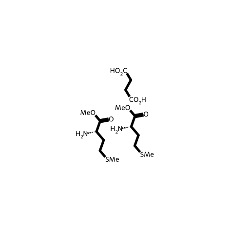 COC(=O)[C@@H](N)CCSC.COC(=O)[C@@H](N)CCSC.O=C(O)CCC(=O)O